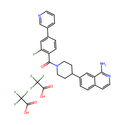 Nc1nccc2ccc(C3CCN(C(=O)c4ccc(-c5cccnc5)cc4F)CC3)cc12.O=C(O)C(F)(F)F.O=C(O)C(F)(F)F